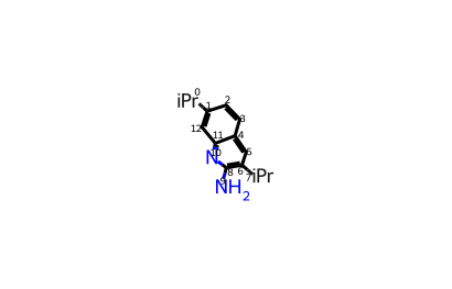 CC(C)c1ccc2cc(C(C)C)c(N)nc2c1